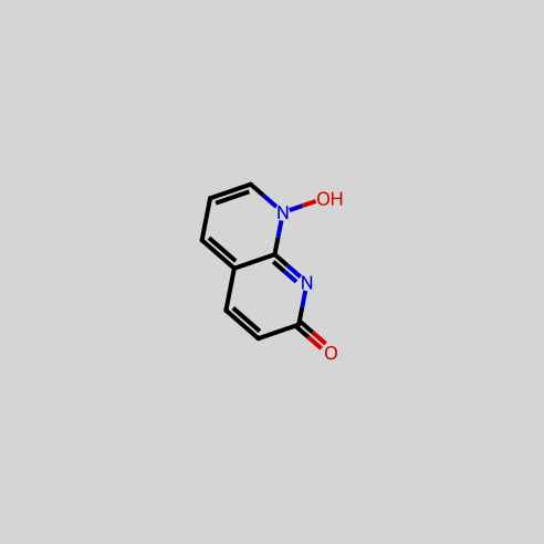 O=c1ccc2cccn(O)c-2n1